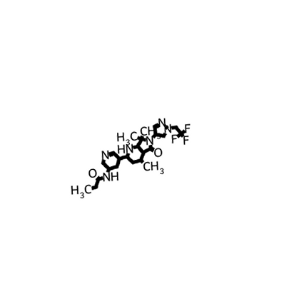 CCC(=O)NC1CN=CC(C2CC(C)C3C(=O)N(C4C=NN(CC(F)(F)F)C4)C(C)(C)C3N2)C1